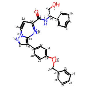 O=C(N[C@@H](CO)c1ccccc1)c1ccn2ncc(-c3ccc(OCc4ccccc4)cc3)c2n1